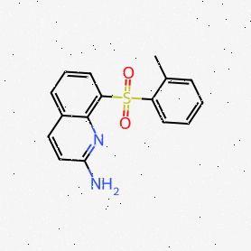 Cc1ccccc1S(=O)(=O)c1cccc2ccc(N)nc12